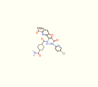 COC(=O)c1ccc2oc(C(=O)Nc3ccc(Cl)cn3)c(NC(=O)C3CCC(C(=O)N(C)C)CC3)c2n1